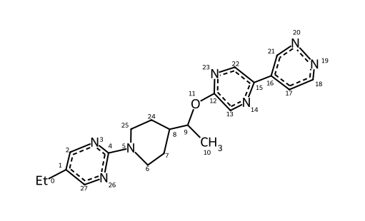 CCc1cnc(N2CCC(C(C)Oc3cnc(-c4ccnnc4)cn3)CC2)nc1